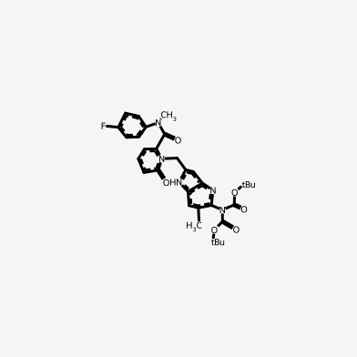 Cc1cc2[nH]c(Cn3c(C(=O)N(C)c4ccc(F)cc4)cccc3=O)cc2nc1N(C(=O)OC(C)(C)C)C(=O)OC(C)(C)C